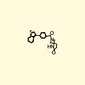 O=C1CCC2(CN(C(=O)c3ccc(-c4csc5ccccc45)cc3)C2)N1